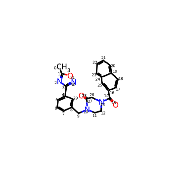 Cc1nc(-c2cccc(CN3CCN(C(=O)c4ccc5ccccc5c4)CC3=O)c2)no1